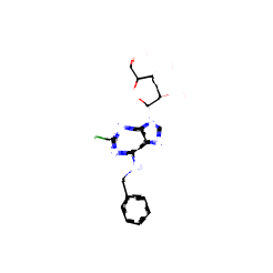 OCC1O[C@@H](n2cnc3c(NCc4ccccc4)nc(Cl)nc32)[C@H](O)[C@H]1O